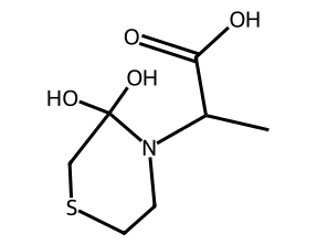 CC(C(=O)O)N1CCSCC1(O)O